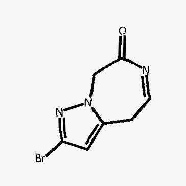 O=C1Cn2nc(Br)cc2CC=N1